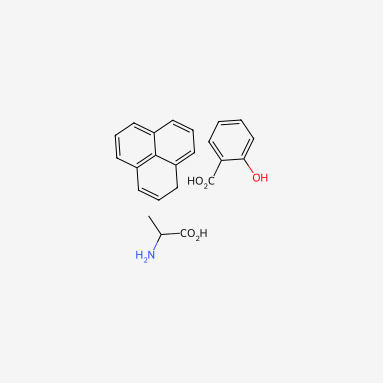 C1=Cc2cccc3cccc(c23)C1.CC(N)C(=O)O.O=C(O)c1ccccc1O